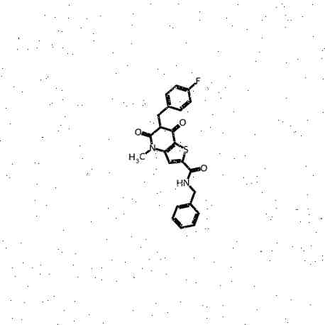 CN1C(=O)C(Cc2ccc(F)cc2)C(=O)c2sc(C(=O)NCc3ccccc3)cc21